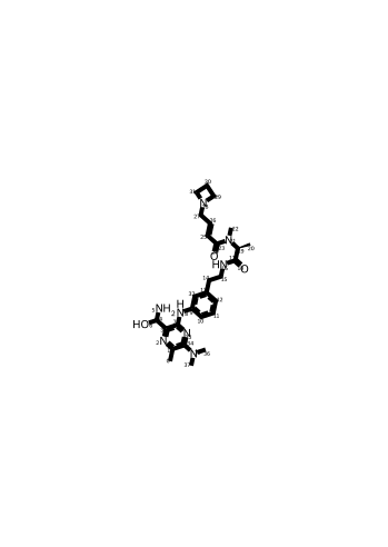 Cc1nc(C(N)O)c(Nc2cccc(CCNC(=O)[C@H](C)N(C)C(=O)/C=C/CN3CCC3)c2)nc1N(C)C